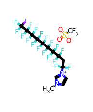 Cn1cc[n+](C(F)(F)CC(F)(F)C(F)(F)C(F)(F)C(F)(F)C(F)(F)C(F)(F)C(F)(F)C(F)(F)I)c1.O=S(=O)([O-])C(F)(F)F